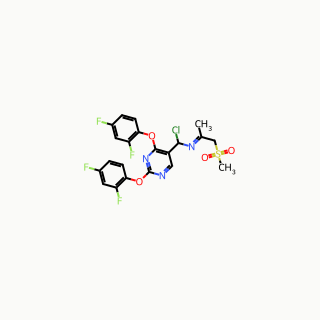 C/C(CS(C)(=O)=O)=N\C(Cl)c1cnc(Oc2ccc(F)cc2F)nc1Oc1ccc(F)cc1F